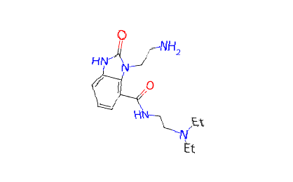 CCN(CC)CCNC(=O)c1cccc2[nH]c(=O)n(CCN)c12